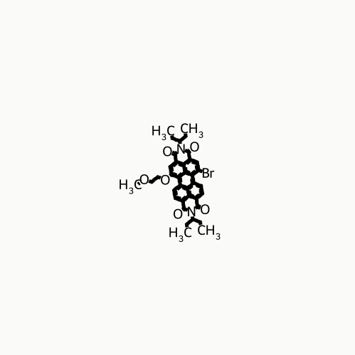 CCC(CC)N1C(=O)c2ccc3c4c(Br)cc5c6c(cc(OCCOC)c(c7ccc(c2c37)C1=O)c64)C(=O)N(C(CC)CC)C5=O